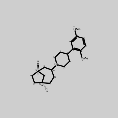 COc1ccc(OC)c(C2CCN(C3CC[C@H]4CC[C@H](C3)C4)CC2)c1